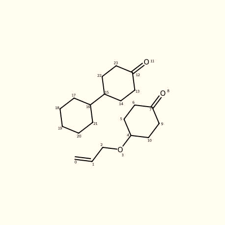 C=CCOC1CCC(=O)CC1.O=C1CCC(C2CCCCC2)CC1